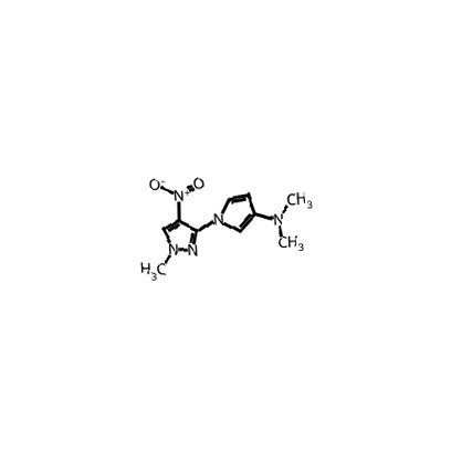 CN(C)c1ccn(-c2nn(C)cc2[N+](=O)[O-])c1